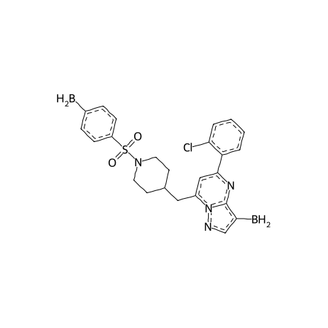 Bc1ccc(S(=O)(=O)N2CCC(Cc3cc(-c4ccccc4Cl)nc4c(B)cnn34)CC2)cc1